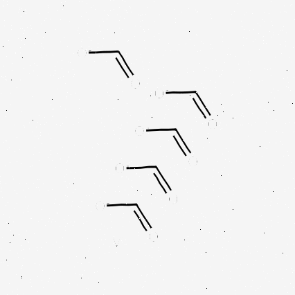 O=C[O-].O=C[O-].O=C[O-].O=C[O-].O=C[O-].[V+5]